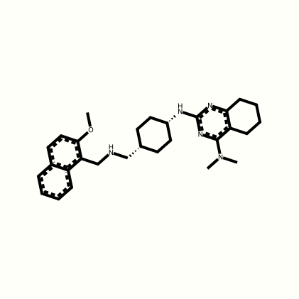 COc1ccc2ccccc2c1CNC[C@H]1CC[C@@H](Nc2nc3c(c(N(C)C)n2)CCCC3)CC1